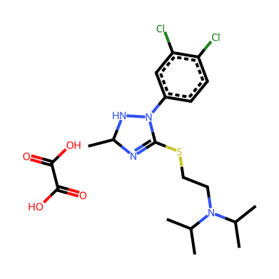 CC1N=C(SCCN(C(C)C)C(C)C)N(c2ccc(Cl)c(Cl)c2)N1.O=C(O)C(=O)O